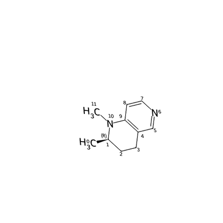 C[C@@H]1CCc2cnccc2N1C